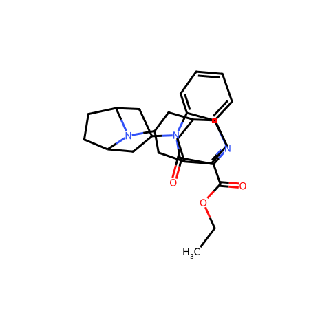 CCOC(=O)c1nc2ccccc2n(C2CC3CCC(C2)N3C2CC3CCCC(C3)C2)c1=O